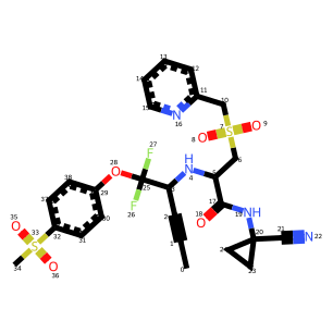 CC#CC(NC(CS(=O)(=O)Cc1ccccn1)C(=O)NC1(C#N)CC1)C(F)(F)Oc1ccc(S(C)(=O)=O)cc1